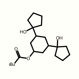 CCC(C)C(=O)OC1CC(C2(O)CCCC2)CC(C2(O)CCCC2)C1